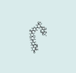 CN1C[C@H](Nc2cnn(C)c(=O)c2Cl)C[C@H](c2ccc(C(=O)N3CCC4(CC3)CCN(c3ccn(C5CCC(=O)NC5=O)c(=O)c3)CC4)cc2)C1